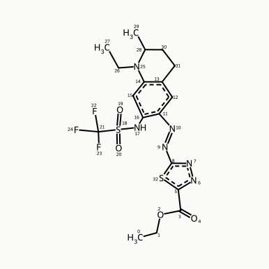 CCOC(=O)c1nnc(N=Nc2cc3c(cc2NS(=O)(=O)C(F)(F)F)N(CC)C(C)CC3)s1